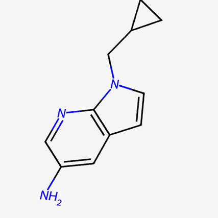 Nc1cnc2c(ccn2CC2CC2)c1